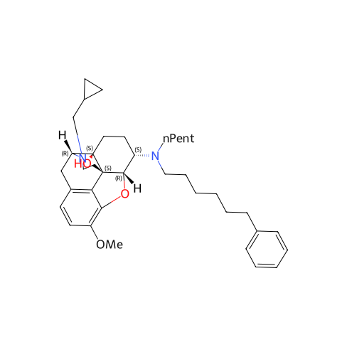 CCCCCN(CCCCCCc1ccccc1)[C@H]1CC[C@@]2(O)[C@H]3Cc4ccc(OC)c5c4[C@@]2(CCN3CC2CC2)[C@H]1O5